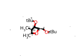 C[C@@H]1O[C@H](COC(C)(C)C)C(OC(C)(C)C)[C@@H]1C